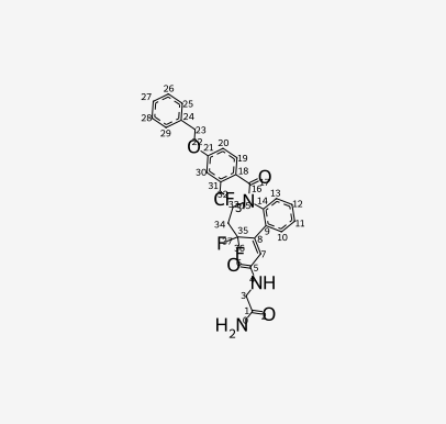 NC(=O)CNC(=O)/C=C1/c2ccccc2N(C(=O)c2ccc(OCc3ccccc3)cc2C(F)(F)F)CCC1(F)F